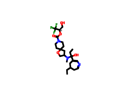 CCC1CC=NC=C(C(O)(CC)N(C)C2COC3(CCN(C(=O)O[C@H](CO)C(F)(F)F)CC3)C2)C1